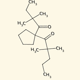 CCCC(C)(C)C(=O)C1(C(=O)C(C)(C)CC)CCCC1